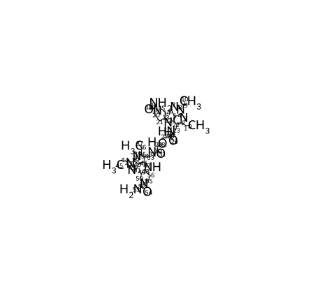 CCc1nc2c(cnn2CC)c(NC2CCN(C(N)=O)CC2)c1CNC(=O)COCC(=O)NCc1c(CC)nc2c(cnn2CC)c1NC1CCN(C(N)=O)CC1